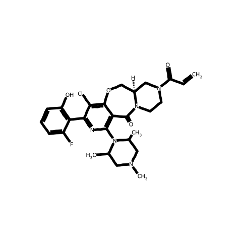 C=CC(=O)N1CCN2C(=O)c3c(N4C(C)CN(C)CC4C)nc(-c4c(O)cccc4F)c(Cl)c3OC[C@H]2C1